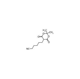 CC1(C)OC(=O)C(CCCCCC#N)C(=O)O1